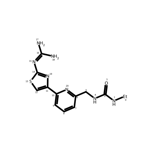 CCNC(=O)NCc1cccc(-c2csc(N=C(N)N)n2)n1